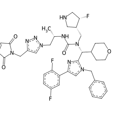 C[C@@H](Cn1cc(CN2C(=O)C=CC2=O)nn1)NC(=O)N(C[C@@H]1CNC[C@@H]1F)[C@@H](c1nc(-c2cc(F)ccc2F)cn1Cc1ccccc1)C1CCOCC1